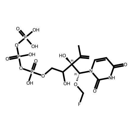 C=C(C)[C@@](O)(C(O)COP(=O)(O)OP(=O)(O)OP(=O)(O)O)[C@@H](OCF)n1ccc(=O)[nH]c1=O